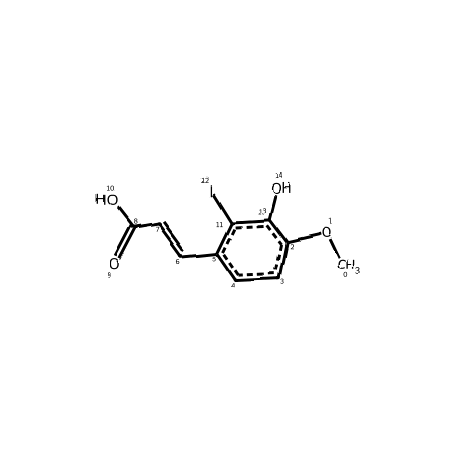 COc1ccc(C=CC(=O)O)c(I)c1O